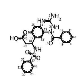 N=C(N)NN(C(=O)c1ccccc1)c1cccc(C(CC(=O)O)NS(=O)(=O)c2ccccc2)c1